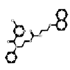 O=C(NCCOc1cccc2ccccc12)OCCN(C(=O)c1cncc(Cl)c1)c1ccccc1